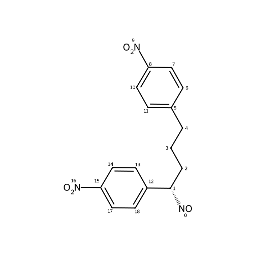 O=N[C@@H](CCCc1ccc([N+](=O)[O-])cc1)c1ccc([N+](=O)[O-])cc1